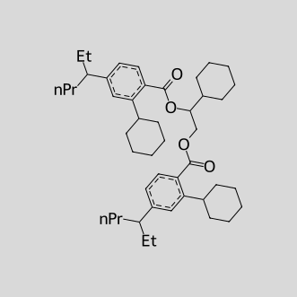 CCCC(CC)c1ccc(C(=O)OCC(OC(=O)c2ccc(C(CC)CCC)cc2C2CCCCC2)C2CCCCC2)c(C2CCCCC2)c1